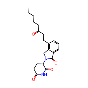 CCCCCC(=O)CCc1cccc2c1CN(C1CCC(=O)NC1=O)C2=O